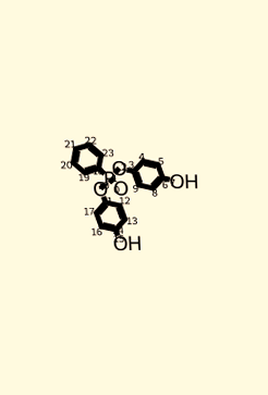 O=P(Oc1ccc(O)cc1)(Oc1ccc(O)cc1)c1ccccc1